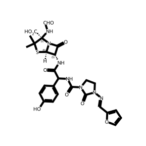 CC1(C)S[C@@H]2[C@@H](NC(=O)C(NC(=O)N3CCN(N=Cc4ccco4)C3=O)c3ccc(O)cc3)C(=O)N2[C@@]1(NC=O)C(=O)O